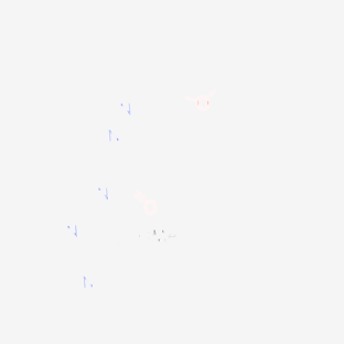 COc1cncnc1N1CCn2nc(COc3ccccc3)cc2C1=O